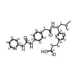 CC(C)CC(NC(=O)Cc1ccc(NC(=O)Nc2ccccn2)cc1)c1ncc(CCC(=O)O)s1